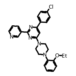 CCOc1ccccc1N1CCN(c2cc(-c3ccc(Cl)cc3)nc(-c3cccnc3)n2)CC1